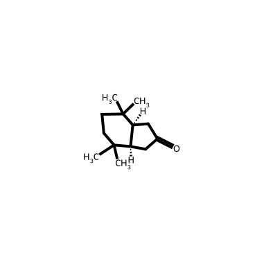 CC1(C)CCC(C)(C)[C@H]2CC(=O)C[C@H]21